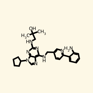 CC(C)(O)CNc1nc(NCc2ccc(-c3ccccc3N)nc2)c2ncn(C3CCCC3)c2n1